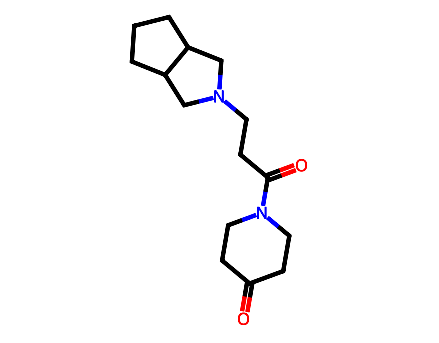 O=C1CCN(C(=O)CCN2CC3CCCC3C2)CC1